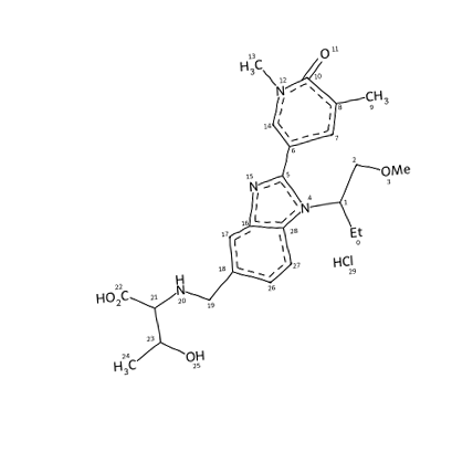 CCC(COC)n1c(-c2cc(C)c(=O)n(C)c2)nc2cc(CNC(C(=O)O)C(C)O)ccc21.Cl